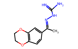 CC(=NNC(=N)N)c1ccc2c(c1)OCCO2